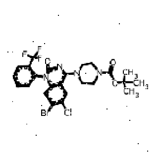 CC(C)(C)OC(=O)N1CCN(c2nc(=O)n(-c3ccccc3C(F)(F)F)c3cc(Br)c(Cl)cc23)CC1